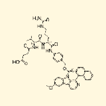 COc1ccc2c(c1)c1ccnc(-c3cccc4ccccc34)c1n2C(=O)OCc1ccc(NC(=O)[C@H](CCCNC(N)=O)NC(=O)[C@@H](NC(=O)CCC(=O)O)C(C)C)cc1